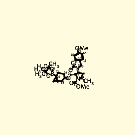 COC(=O)N1[C@H](C)C[C@H](N(Cc2ccc(OC)cc2)C(=O)C(F)(F)F)[C@@H]1COC1CCC2(B3OC(C)(C)C(C)(C)O3)CC2C1